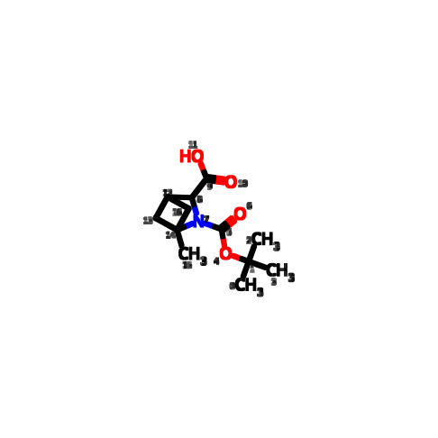 CC(C)(C)OC(=O)N1C(C(=O)O)C2CC1(C)C2